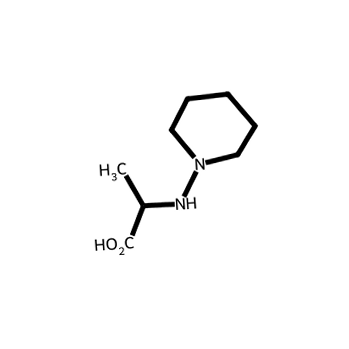 CC(NN1CCCCC1)C(=O)O